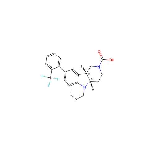 O=C(O)N1CC[C@H]2[C@@H](C1)c1cc(-c3ccccc3C(F)(F)F)cc3c1N2CCC3